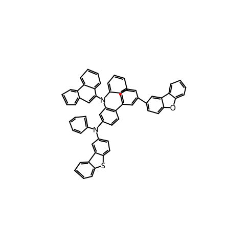 c1ccc(N(c2ccc(-c3cccc(-c4ccc5oc6ccccc6c5c4)c3)c(N(c3ccccc3)c3cc4ccccc4c4ccccc34)c2)c2ccc3sc4ccccc4c3c2)cc1